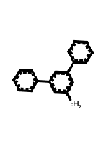 Bc1cc(-c2ccccc2)cc(-c2ccccc2)c1